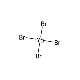 [Br][Yb]([Br])([Br])[Br]